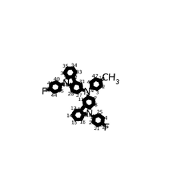 Cc1ccc(N(c2ccc3c(c2)c2ccccc2n3-c2ccc(F)cc2)c2ccc3c(c2)c2ccccc2n3-c2ccc(F)cc2)cc1